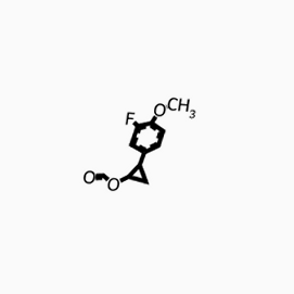 COc1ccc(C2CC2OC=O)cc1F